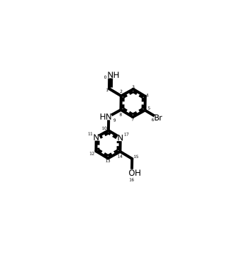 N=Cc1ccc(Br)cc1Nc1nccc(CO)n1